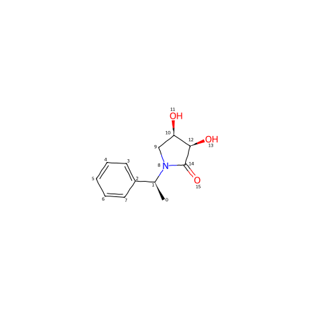 C[C@@H](c1ccccc1)N1C[C@@H](O)[C@@H](O)C1=O